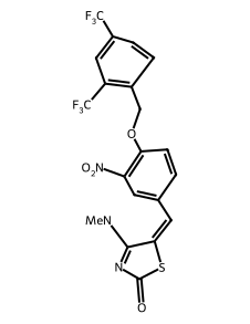 CNC1=NC(=O)SC1=Cc1ccc(OCc2ccc(C(F)(F)F)cc2C(F)(F)F)c([N+](=O)[O-])c1